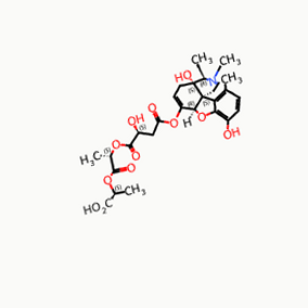 Cc1ccc(O)c2c1[C@]13CCN(C)[C@H](C)[C@]1(O)CC=C(OC(=O)C[C@H](O)C(=O)O[C@@H](C)C(=O)O[C@@H](C)C(=O)O)[C@@H]3O2